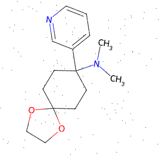 CN(C)C1(c2cccnc2)CCC2(CC1)OCCO2